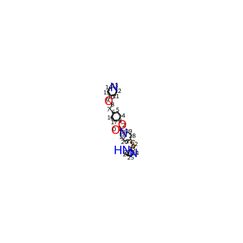 O=C(Oc1ccc(CCOc2ccncc2)cc1)N1CCC(Sc2ncc[nH]2)CC1